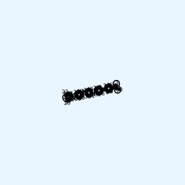 COC(=O)c1ccc(-c2ccc(N3CCN(c4ccc(N5C[C@@H](C)O[C@@H](C)C5)cc4)CC3)cc2)cc1